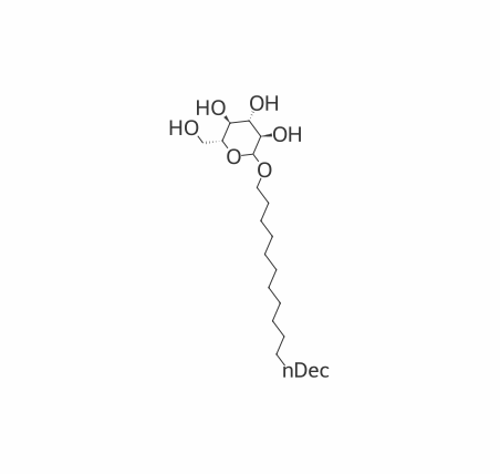 CCCCCCCCCCCCCCCCCCCCCOC1O[C@H](CO)[C@@H](O)[C@H](O)[C@H]1O